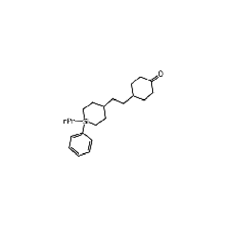 CCC[Si]1(c2ccccc2)CCC(CCC2CCC(=O)CC2)CC1